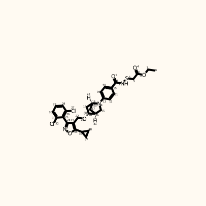 CCOC(=O)CSNC(=O)c1ccc(N2C[C@@H]3C[C@H]2C[C@H]3OCc2c(-c3c(Cl)cccc3Cl)noc2C2CC2)cc1